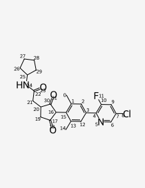 Cc1cc(-c2ncc(Cl)cc2F)cc(C)c1C1C(=O)CC(CC(=O)NC2CCCC2)C1=O